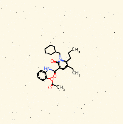 CCCc1c(CC)cc(C(=O)Nc2ccccc2OC(C)=O)c(=O)n1CC1CCCCC1